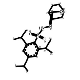 CC(C)c1cc(C(C)C)c(S(=O)(=O)NN=C2CN3CCC2CC3)c(C(C)C)c1